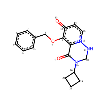 O=C1c2c(OCc3ccccc3)c(=O)ccn2NCN1C1CCC1